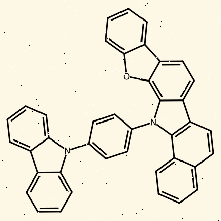 c1ccc2c(c1)ccc1c3ccc4c5ccccc5oc4c3n(-c3ccc(-n4c5ccccc5c5ccccc54)cc3)c21